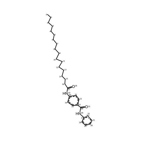 CCCCCCCCCCCCCCCCCC(=O)Nc1ccc(C(=O)Nc2ccccn2)cc1